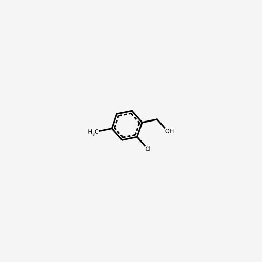 Cc1ccc(CO)c(Cl)c1